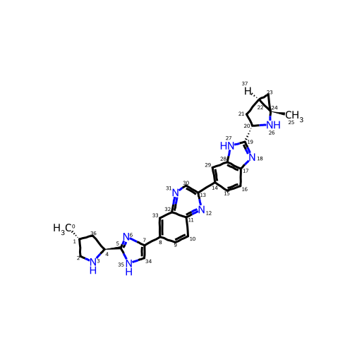 C[C@H]1CN[C@H](c2nc(-c3ccc4nc(-c5ccc6nc([C@@H]7C[C@H]8C[C@]8(C)N7)[nH]c6c5)cnc4c3)c[nH]2)C1